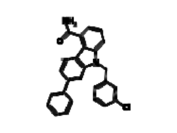 NC(=O)c1cccc2c1c1[c]cc(-c3ccccc3)cc1n2Cc1cccc(Cl)c1